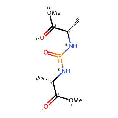 COC(=O)[C@H](C)N[PH](=O)N[C@@H](C)C(=O)OC